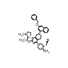 C[C@@H](Oc1nc2c(c(N3CCN(C)[C@@H](CC#N)C3)n1)CCN(c1cc(OCc3ccccc3)cc3ccccc13)C2)[C@H]1CCCN1C